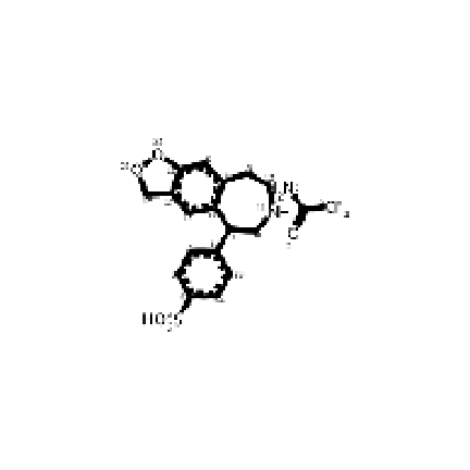 NC(=O)C(F)(F)F.O=S(=O)(O)c1ccc(C2CNCCc3cc4c(cc32)COO4)cc1